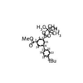 COC(=O)c1cc(B2OC(C)(C)C(C)(C)O2)cc(-c2ccc(C(C)(C)C)cc2)c1